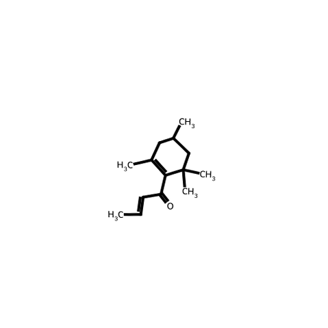 CC=CC(=O)C1=C(C)CC(C)CC1(C)C